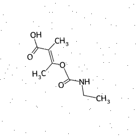 CCNC(=O)O/C(C)=C(\C)C(=O)O